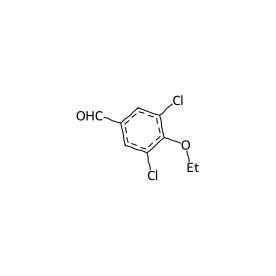 CCOc1c(Cl)cc(C=O)cc1Cl